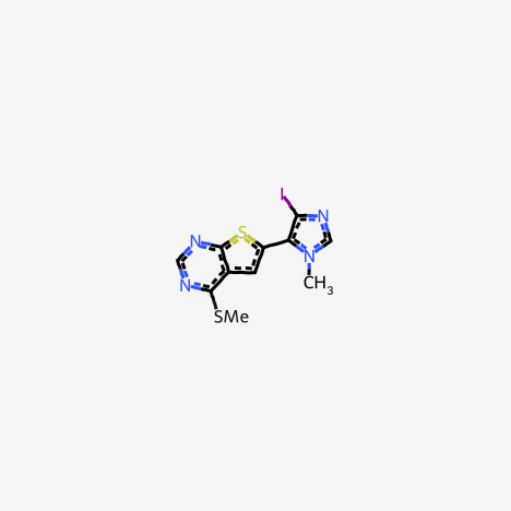 CSc1ncnc2sc(-c3c(I)ncn3C)cc12